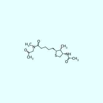 CC(=O)CN(C)C(=O)CCCC[C@@H]1SC[C@H](NC(C)=O)[C@@H]1C